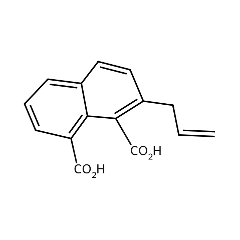 C=CCc1ccc2cccc(C(=O)O)c2c1C(=O)O